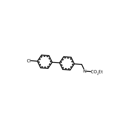 CCOC(=O)[N]Cc1ccc(-c2ccc(Cl)cc2)cc1